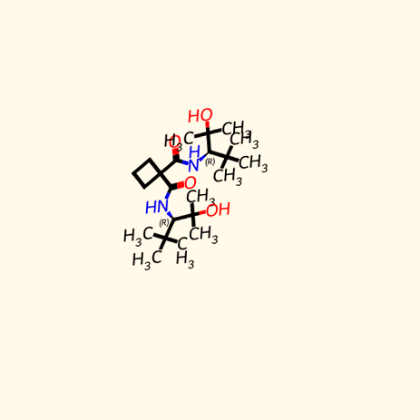 CC(C)(C)[C@@H](NC(=O)C1(C(=O)N[C@H](C(C)(C)C)C(C)(C)O)CCC1)C(C)(C)O